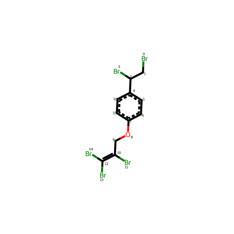 BrCC(Br)c1ccc(OCC(Br)=C(Br)Br)cc1